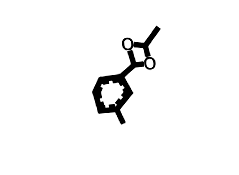 Cc1cccc(C2OC(C)O2)c1